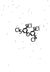 ClSc1cc(Oc2cc(SCl)cc(SCl)c2)cc(SCl)c1